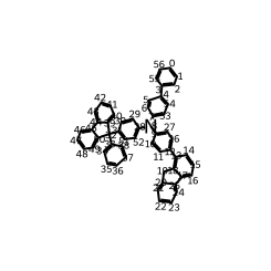 c1ccc(-c2ccc(N(c3ccc(-c4cccc5c4Cc4ccccc4-5)cc3)c3ccc(C4(c5ccccc5)c5ccccc5-c5ccccc54)cc3)cc2)cc1